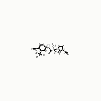 CC(C)(C(=O)Nc1ccc(C#N)c(C(F)(F)F)c1)n1ccc(C#N)c1